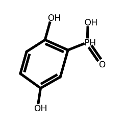 O=[PH](O)c1cc(O)ccc1O